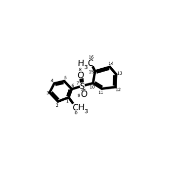 Cc1[c]cccc1S(=O)(=O)c1ccccc1C